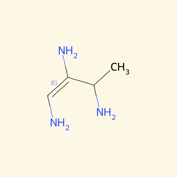 CC(N)/C(N)=C\N